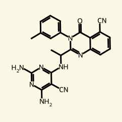 Cc1cccc(-n2c(C(C)Nc3nc(N)nc(N)c3C#N)nc3cccc(C#N)c3c2=O)c1